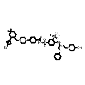 CCC12CC(C3=C(CN4CCN(c5ccc(C(=O)NS(=O)(=O)c6ccc(N[C@H](CCN7CCC(O)CC7)CSc7ccccc7)c(S(=O)(=O)C(F)(F)F)c6)cc5)CC4)CCC(C)(C)C3)(C1)C2